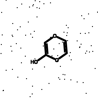 OC1=COC=CO1